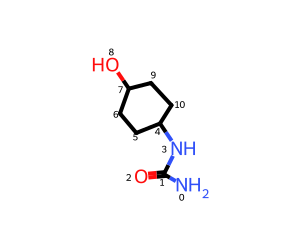 NC(=O)NC1CCC(O)CC1